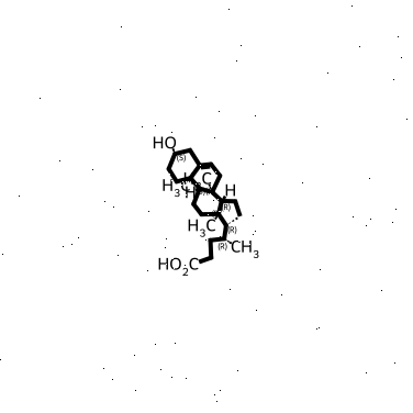 C[C@H](CCC(=O)O)[C@H]1CC[C@@H]2[C@]1(C)CC[C@H]1[C@@]2(C)CC=C2C[C@@H](O)CC[C@@]21C